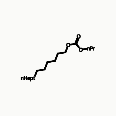 CCCCCCCCCCCCCOC(=O)OCCC